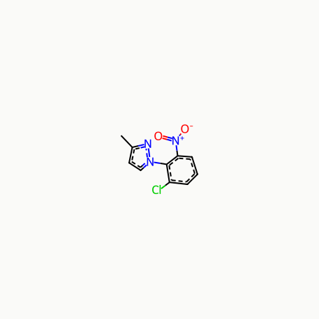 Cc1ccn(-c2c(Cl)cccc2[N+](=O)[O-])n1